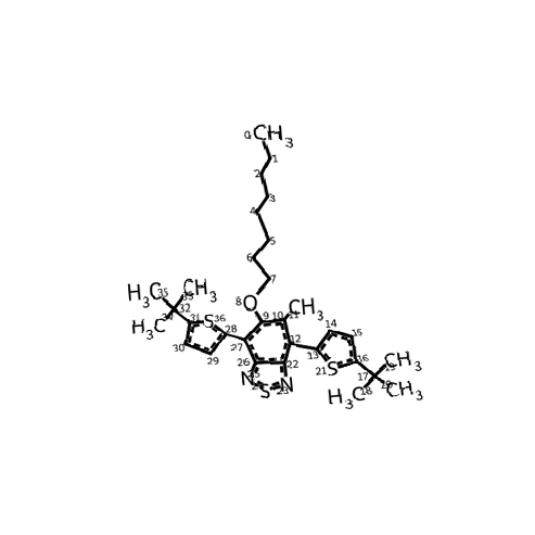 CCCCCCCCOc1c(C)c(-c2ccc(C(C)(C)C)s2)c2nsnc2c1-c1ccc(C(C)(C)C)s1